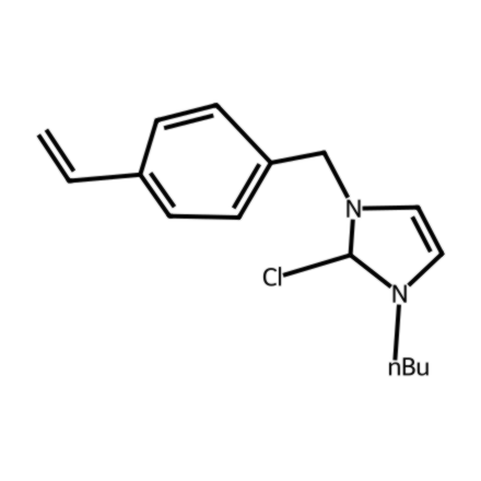 C=Cc1ccc(CN2C=CN(CCCC)C2Cl)cc1